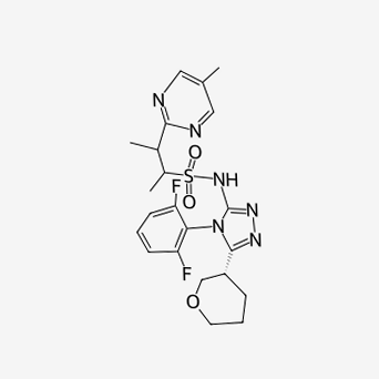 Cc1cnc(C(C)C(C)S(=O)(=O)Nc2nnc([C@@H]3CCCOC3)n2-c2c(F)cccc2F)nc1